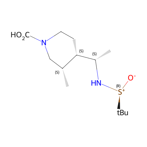 C[C@@H]1CN(C(=O)O)CC[C@@H]1[C@H](C)N[S@@+]([O-])C(C)(C)C